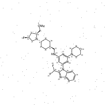 COC[C@@H]1C[C@H](F)CN1[C@H]1CC[C@H](CNc2cc(-n3c(C(F)F)nc4ccccc43)nc(N3CCOCC3)n2)CC1